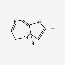 CC1=C[C@H]2PCC=NC=C2N1